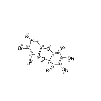 Oc1c(O)c(Br)c2c(c1Br)Oc1cc(Br)c(Br)c(Br)c1O2